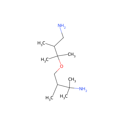 CC(COC(C)(C)C(C)CN)C(C)(C)N